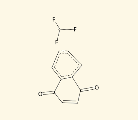 F[C](F)F.O=C1C=CC(=O)c2ccccc21